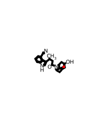 CC(CC(=O)N1C2CC3CC1CC(O)(C3)C2)c1c[nH]c2cccc(C#N)c12